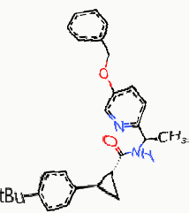 C[C@@H](NC(=O)[C@@H]1C[C@H]1c1ccc(C(C)(C)C)cc1)c1ccc(OCc2ccccc2)cn1